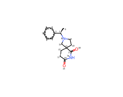 C[C@H](c1ccccc1)N1CCC2(CCC(=O)NC2=O)C1